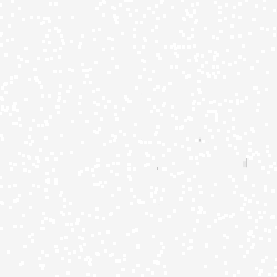 Cc1ccc(C(C)OC(C)C)cc1